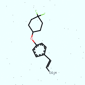 O=C(O)/C=C/c1ccc(OC2CCC(F)(F)CC2)cc1